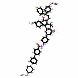 CCCCC[C@H]1CC[C@H](c2ccc(-c3ccc(C(=O)Nc4ccc(-c5cc(Br)c6c(c5)-c5c(c7c(c8cc(C(F)(F)F)ccc58)OC(c5ccc(F)cc5)(c5ccc(OCCCC)cc5)C=C7)C6(C)C)cc4)cc3)cc2)CC1